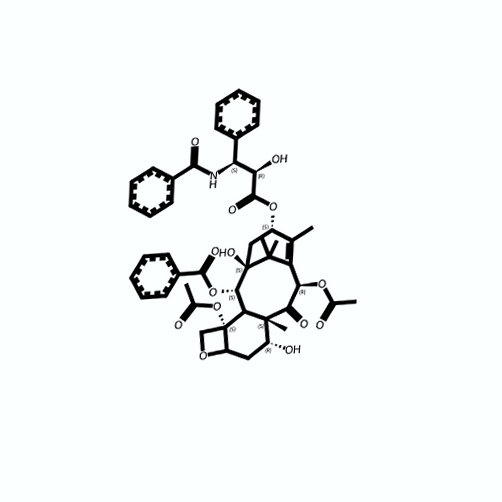 CC(=O)O[C@H]1C(=O)[C@@]2(C)C([C@H](OC(=O)c3ccccc3)[C@]3(O)C[C@H](OC(=O)[C@H](O)[C@@H](NC(=O)c4ccccc4)c4ccccc4)C(C)=C1C3(C)C)[C@]1(OC(C)=O)COC1C[C@H]2O